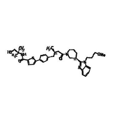 COCCCn1c([C@@H]2CCCN(C(=O)C[C@H](C)Cc3ccc(-c4ccc(C(=O)NC(C)(C)CO)s4)cc3)C2)nc2ccccc21